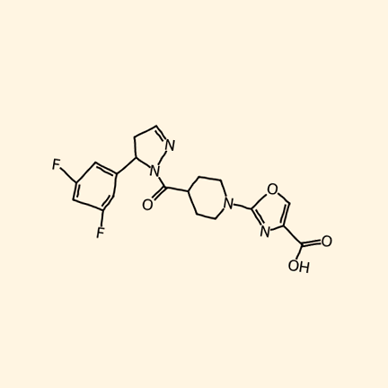 O=C(O)c1coc(N2CCC(C(=O)N3N=CCC3c3cc(F)cc(F)c3)CC2)n1